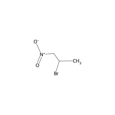 CC(Br)C[N+](=O)[O-]